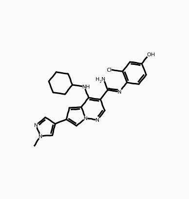 Cn1cc(-c2cc3c(NC4CCCCC4)c(/C(N)=N/c4ccc(O)cc4Cl)cnn3c2)cn1